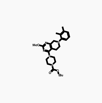 COc1nc2c(c(N3CCN(C(=O)OC(C)(C)C)CC3)n1)CCN(c1cccc(C)c1C)C2